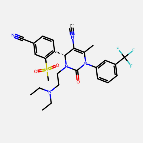 [C-]#[N+]C1=C(C)N(c2cccc(C(F)(F)F)c2)C(=O)N(CCN(CC)CC)[C@@H]1c1ccc(C#N)cc1S(C)(=O)=O